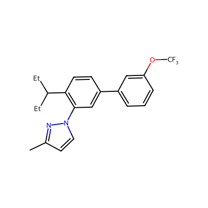 CCC(CC)c1ccc(-c2cccc(OC(F)(F)F)c2)cc1-n1ccc(C)n1